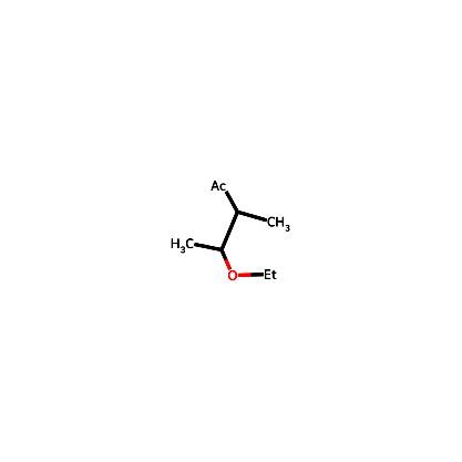 CCOC(C)C(C)C(C)=O